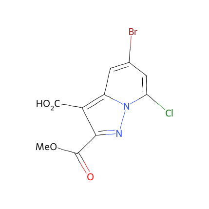 COC(=O)c1nn2c(Cl)cc(Br)cc2c1C(=O)O